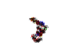 CC(C)(C)c1ccc(CCOc2ncnc3ccccc23)cc1.CC(C)[C@H](C(=O)O[C@H](C#N)c1cccc(Oc2ccccc2)c1)c1ccc(Cl)cc1.CCCSP(=O)(OCC)SCCC.CCOP(=O)(NC(C)C)Oc1ccc(SC)c(C)c1.CCOc1cc(OP(=S)(OC)OC)nc(CC)n1.CCOc1ccc(C(C)(C)COCc2cccc(Oc3ccccc3)c2)cc1